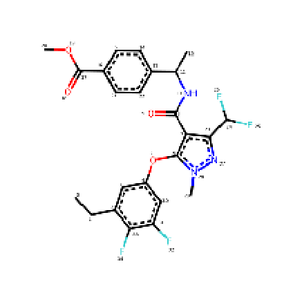 CCc1cc(Oc2c(C(=O)NC(C)c3ccc(C(=O)OC)cc3)c(C(F)F)nn2C)cc(F)c1F